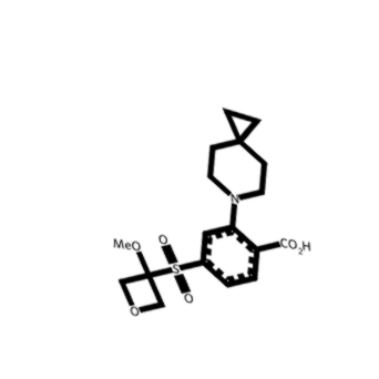 COC1(S(=O)(=O)c2ccc(C(=O)O)c(N3CCC4(CC3)CC4)c2)COC1